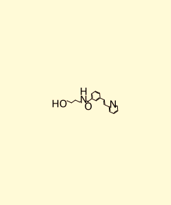 O=C(NCCCCO)c1cccc(C=Cc2ccccn2)c1